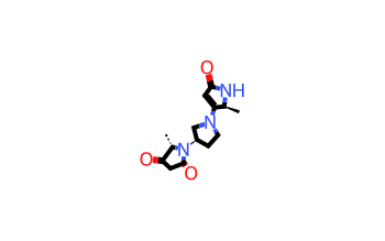 C[C@@H]1NC(=O)C=C1N1CC[C@H](N2C(=O)CC(=O)[C@@H]2C)C1